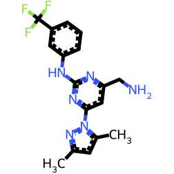 Cc1cc(C)n(-c2cc(CN)nc(Nc3cccc(C(F)(F)F)c3)n2)n1